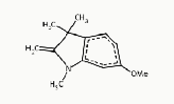 C=C1N(C)c2cc(OC)ccc2C1(C)C